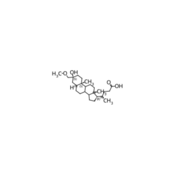 COC[C@]1(O)CC[C@]2(C)C3CC[C@@]4(C)C(CC[C@@H]4[C@H](C)CCC(=O)O)C3CC[C@H]2C1